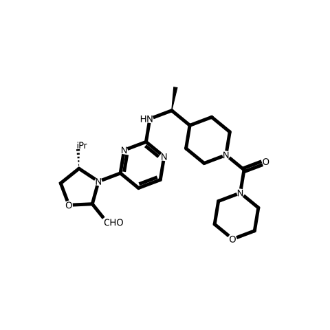 CC(C)[C@H]1COC(C=O)N1c1ccnc(N[C@@H](C)C2CCN(C(=O)N3CCOCC3)CC2)n1